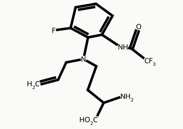 C=CCN(CCC(N)C(=O)O)c1c(F)cccc1NC(=O)C(F)(F)F